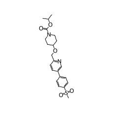 CC(C)OC(=O)N1CCC(OCc2ccc(-c3ccc(S(C)(=O)=O)cc3)cn2)CC1